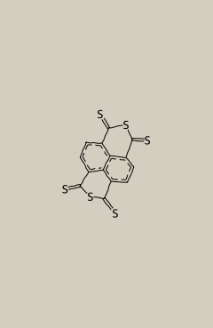 S=C1SC(=S)c2ccc3c4c(ccc1c24)C(=S)SC3=S